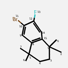 CC1(C)CCC(C)(C)c2cc(Br)c(F)cc21